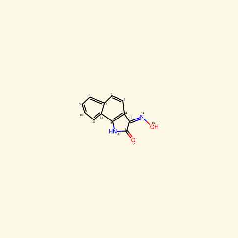 O=C1Nc2c(ccc3ccccc23)C1=NO